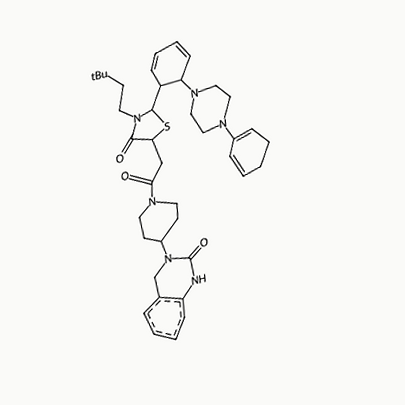 CC(C)(C)CCN1C(=O)C(CC(=O)N2CCC(N3Cc4ccccc4NC3=O)CC2)SC1C1C=CC=CC1N1CCN(C2=CCCC=C2)CC1